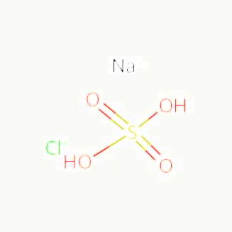 O=S(=O)(O)O.[Cl-].[Na+]